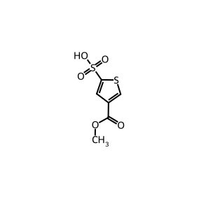 COC(=O)c1csc(S(=O)(=O)O)c1